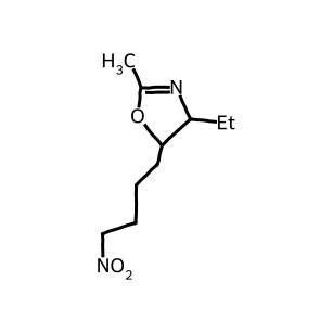 CCC1N=C(C)OC1CCCC[N+](=O)[O-]